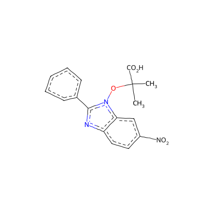 CC(C)(On1c(-c2ccccc2)nc2ccc([N+](=O)[O-])cc21)C(=O)O